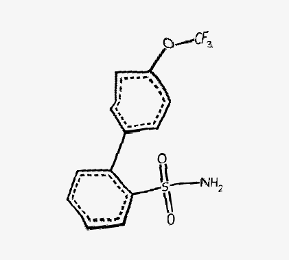 NS(=O)(=O)c1ccccc1-c1ccc(OC(F)(F)F)cc1